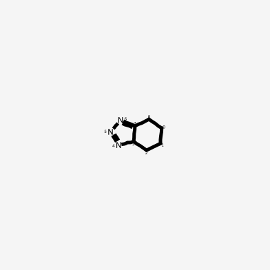 C1CCC2N=NN=C2C1